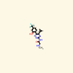 CNCC(=O)Nc1nnc(-c2ccc(C(F)(F)F)cc2O)c(C2CC2)n1